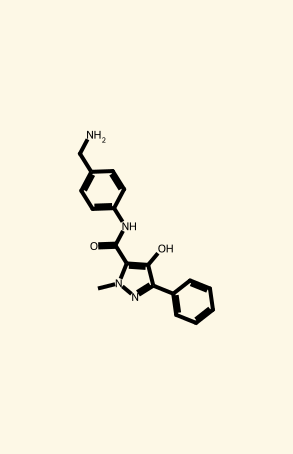 Cn1nc(-c2ccccc2)c(O)c1C(=O)Nc1ccc(CN)cc1